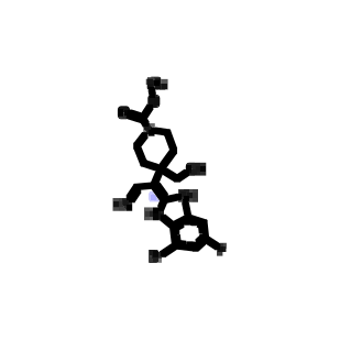 CC(C)(C)OC(=O)N1CCC(CO)(/C(C=N)=C2\Nc3cc(F)cc(Br)c3N2)CC1